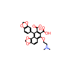 CN(C)CCOc1c(C(=O)O)c(C(=O)O)c(-c2ccc3c(c2)OCO3)c2c3c(ccc12)OCO3